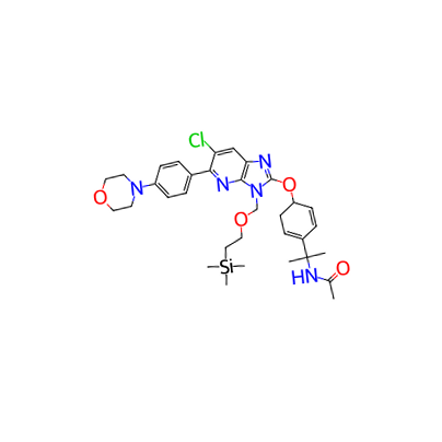 CC(=O)NC(C)(C)C1=CCC(Oc2nc3cc(Cl)c(-c4ccc(N5CCOCC5)cc4)nc3n2COCC[Si](C)(C)C)C=C1